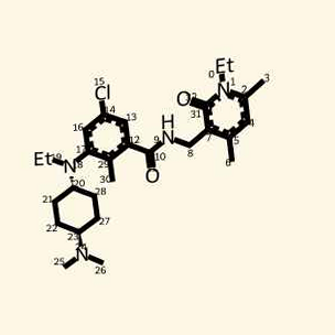 CCn1c(C)cc(C)c(CNC(=O)c2cc(Cl)cc(N(CC)[C@H]3CC[C@H](N(C)C)CC3)c2C)c1=O